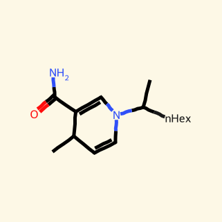 CCCCCCC(C)N1C=CC(C)C(C(N)=O)=C1